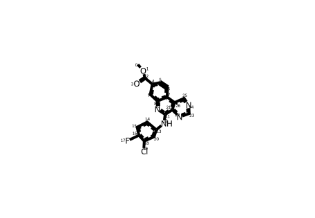 COC(=O)c1c#cc2c(c1)nc(Nc1ccc(F)c(Cl)c1)c1ncncc12